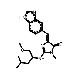 COCC(CC(C)C)NC1=N/C(=C\c2ccc3[nH]cnc3c2)C(=O)N1C